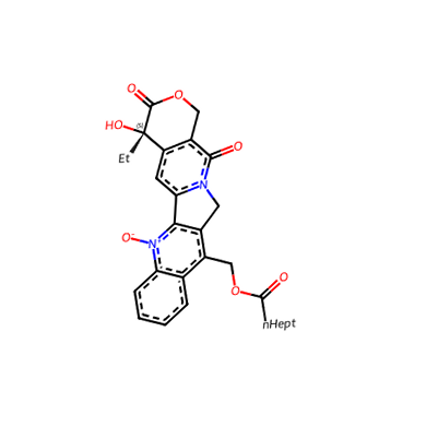 CCCCCCCC(=O)OCc1c2c([n+]([O-])c3ccccc13)-c1cc3c(c(=O)n1C2)COC(=O)[C@]3(O)CC